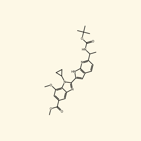 COC(=O)c1cc(OC)c2c(c1)nc(-c1cc3ccc(C(C)NC(=O)OC(C)(C)C)nc3[nH]1)n2C1CC1